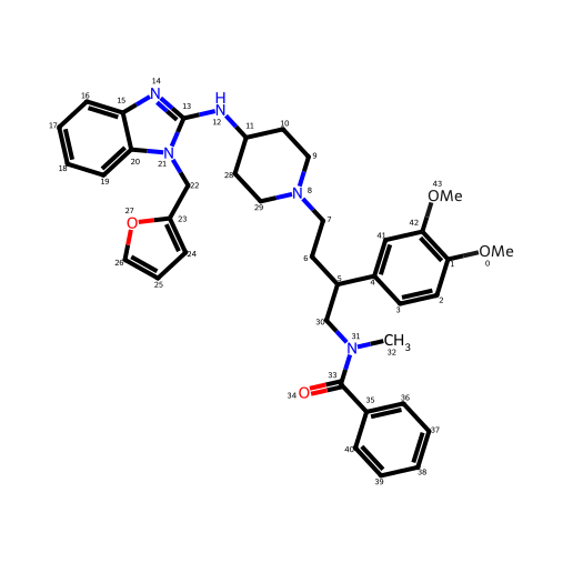 COc1ccc(C(CCN2CCC(Nc3nc4ccccc4n3Cc3ccco3)CC2)CN(C)C(=O)c2ccccc2)cc1OC